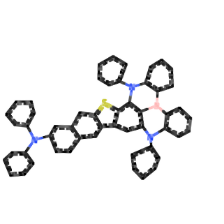 c1ccc(N(c2ccccc2)c2ccc3cc4c(cc3c2)sc2c3c5c(cc24)N(c2ccccc2)c2ccccc2B5c2ccccc2N3c2ccccc2)cc1